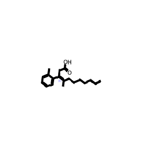 CCCCCCC/C(C)=C(\CC(=O)O)c1ccccc1C